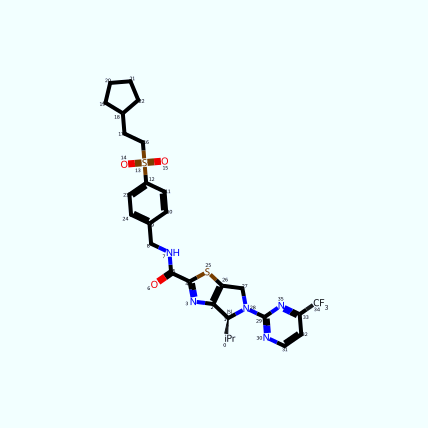 CC(C)[C@H]1c2nc(C(=O)NCc3ccc(S(=O)(=O)CCC4CCCC4)cc3)sc2CN1c1nccc(C(F)(F)F)n1